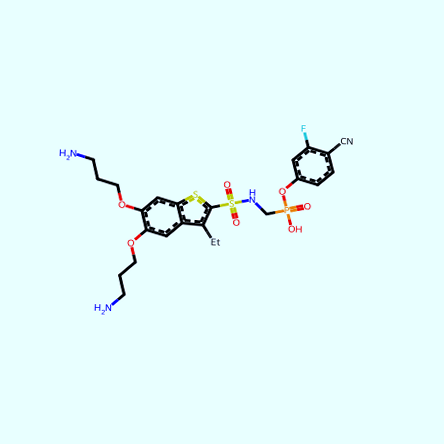 CCc1c(S(=O)(=O)NCP(=O)(O)Oc2ccc(C#N)c(F)c2)sc2cc(OCCCN)c(OCCCN)cc12